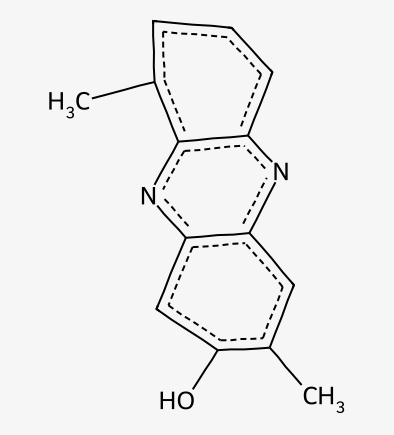 Cc1cc2nc3cccc(C)c3nc2cc1O